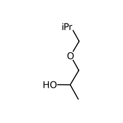 CC(C)COCC(C)O